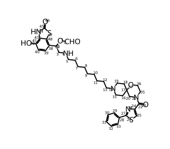 O=CO[C@@H](CNCCCCCCCCCN1CCC2(CC1)CN(C(=O)c1csc(-c3ccccc3)n1)CCO2)c1ccc(O)c2[nH]c(=O)sc12